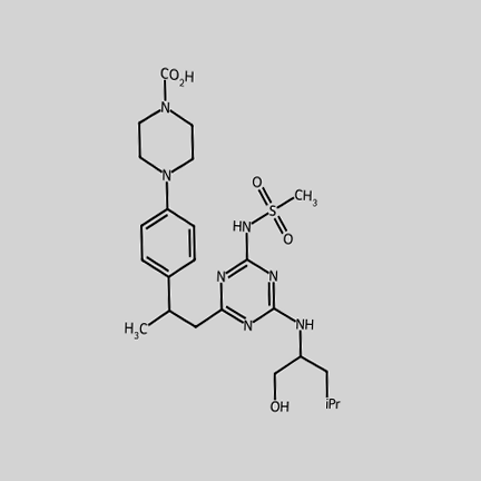 CC(C)CC(CO)Nc1nc(CC(C)c2ccc(N3CCN(C(=O)O)CC3)cc2)nc(NS(C)(=O)=O)n1